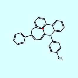 Cc1ccc(N(C2=CC=C(c3ccccc3)CCC2)c2ccccc2-c2ccccc2)cc1